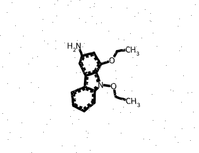 CCOc1cc(N)cc2c3ccccc3n(OCC)c12